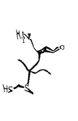 CC(C)(SS)C(N)=O